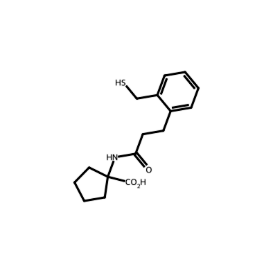 O=C(CCc1ccccc1CS)NC1(C(=O)O)CCCC1